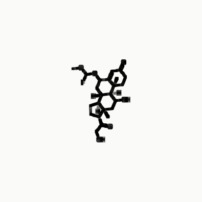 COC(F)OC1C[C@H]2[C@@H]3CC[C@H](C(=O)CO)[C@@]3(C)CC(O)[C@@H]2[C@@]2(C)CCC(=O)C=C12